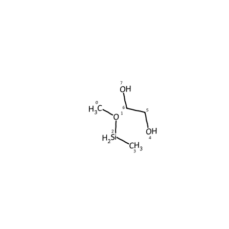 CO[SiH2]C.OCCO